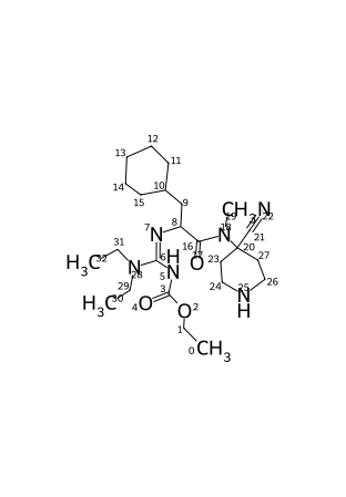 CCOC(=O)NC(=NC(CC1CCCCC1)C(=O)N(C)C1(C#N)CCNCC1)N(CC)CC